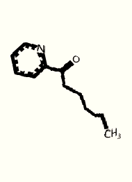 CCCCCC(=O)c1ccccn1